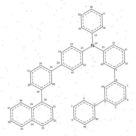 c1ccc(-c2cccc(-c3cccc(N(c4ccccc4)c4ccc(-c5cccc(-c6cccc7ccccc67)c5)cc4)c3)c2)cc1